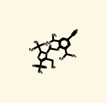 CC(C)c1cc(C#N)cc(C(C)C)c1NC(=O)N1C(CO)=C(S(=N)(N)=O)SC1C(C)(C)O